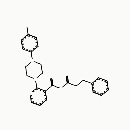 Cc1ccc(N2CCN(c3ncccc3C(=O)NC(=O)CCc3ccccc3)CC2)cc1